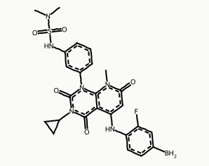 Bc1ccc(Nc2cc(=O)n(C)c3c2c(=O)n(C2CC2)c(=O)n3-c2cccc(NS(=O)(=O)N(C)C)c2)c(F)c1